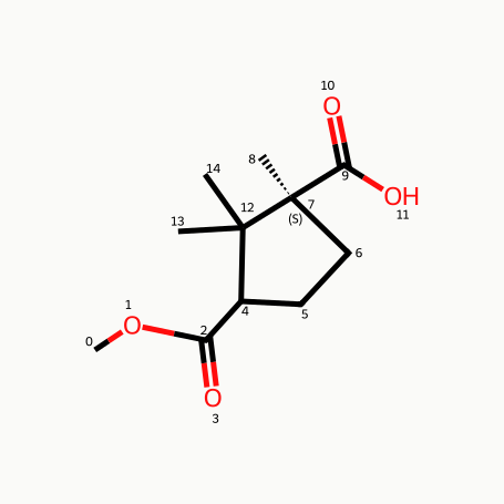 COC(=O)C1CC[C@](C)(C(=O)O)C1(C)C